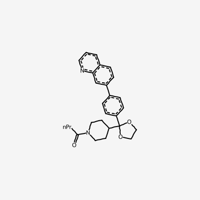 CCCC(=O)N1CCC(C2(c3ccc(-c4ccc5cccnc5c4)cc3)OCCO2)CC1